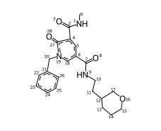 CNC(=O)c1cc(C(=O)NCCC2CCCOC2)cn(Cc2ccccc2)c1=O